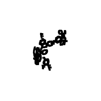 C=CC(=O)N1CC(C)(C)Oc2cc(N3CCC4(CC3)CC(NC(=O)N[C@H](Cc3ccc(F)c(F)c3)CS(C)(=O)=O)c3ccc(F)cc34)ccc21